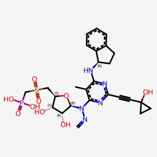 C=NN(c1nc(C#CC2(O)CC2)nc(N[C@@H]2CCc3ccccc32)c1C)[C@@H]1O[C@H](CS(=O)(=O)CP(=O)(O)O)[C@@H](O)[C@H]1O